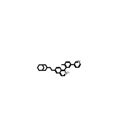 Cc1ccc(-c2cccnc2)cc1-c1c2ccc(CCC3CC4CCCC(C4)C3)cc2cc[n+]1C